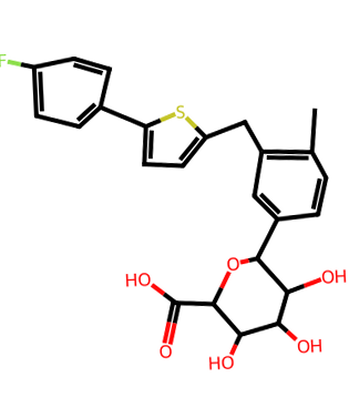 Cc1ccc(C2OC(C(=O)O)C(O)C(O)C2O)cc1Cc1ccc(-c2ccc(F)cc2)s1